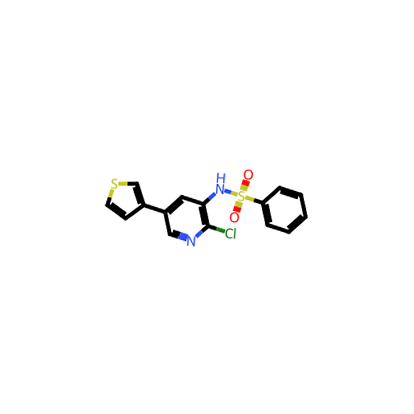 O=S(=O)(Nc1cc(-c2ccsc2)cnc1Cl)c1ccccc1